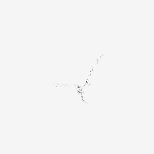 CCCCCCCCCCCCCCCC(=O)OC[C@H](COP(=O)([O-])OCC[N+](C)(C)C)OC(=O)CCCCCCCCCC=O